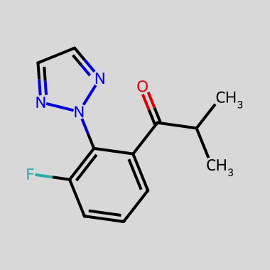 CC(C)C(=O)c1cccc(F)c1-n1nccn1